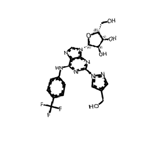 OCc1cnn(-c2nc(Nc3ccc(C(F)(F)F)cc3)c3ncn([C@@H]4O[C@H](CO)[C@@H](O)[C@H]4O)c3n2)c1